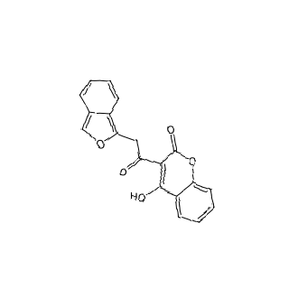 O=C(Cc1occ2ccccc12)c1c(O)c2ccccc2oc1=O